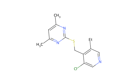 CCc1cncc(Cl)c1CSc1nc(C)cc(C)n1